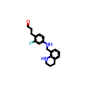 O=CCCc1ccc(NCc2cccc3c2NCCC3)cc1F